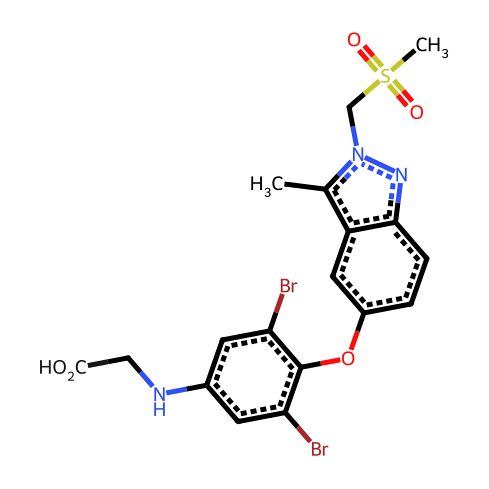 Cc1c2cc(Oc3c(Br)cc(NCC(=O)O)cc3Br)ccc2nn1CS(C)(=O)=O